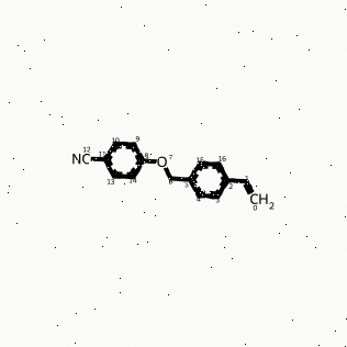 C=Cc1ccc(COc2ccc(C#N)cc2)cc1